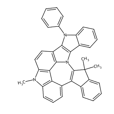 Cn1c2cccc3c4c(n5c6c(ccc1c6c32)c1c5c2ccccc2n1-c1ccccc1)C(C)(C)c1ccccc1-4